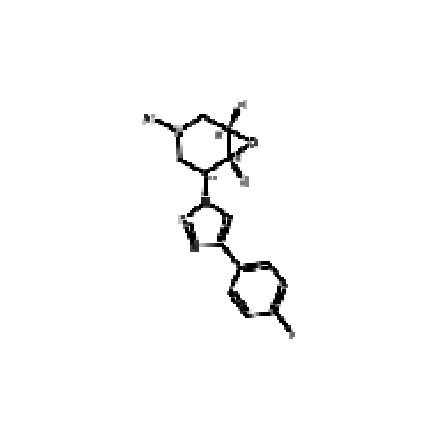 CC(=O)N1C[C@@H]2O[C@@H]2[C@@H](n2cc(-c3ccc(F)cc3)nn2)C1